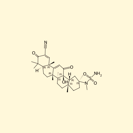 CN([C@@]1(C)CC[C@]2(C)CC[C@@]3(C)[C@]4(C)CC[C@H]5C(C)(C)C(=O)C(C#N)=C[C@]5(C)C4=CC(=O)[C@]3(O)[C@@H]2C1)S(N)(=O)=O